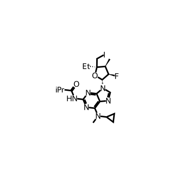 CC[C@@]1(CI)O[C@@H](n2cnc3c(N(C)C4CC4)nc(NC(=O)C(C)C)nc32)[C@H](F)[C@@H]1C